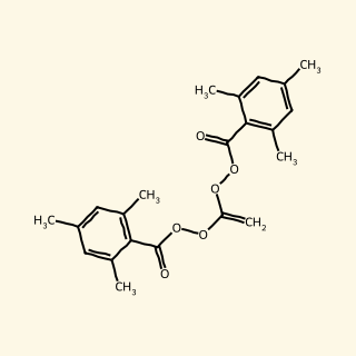 C=C(OOC(=O)c1c(C)cc(C)cc1C)OOC(=O)c1c(C)cc(C)cc1C